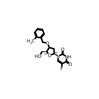 Cc1ccccc1COC1C[C@@H](n2cc(F)c(=O)[nH]c2=O)O[C@H]1CO